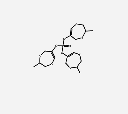 CC1CSC=C(OP(=O)(OC2=CSCC(C)SC2)OC2=CSCC(C)SC2)CS1